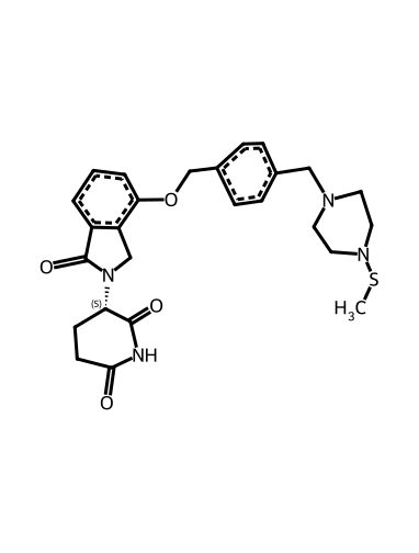 CSN1CCN(Cc2ccc(COc3cccc4c3CN([C@H]3CCC(=O)NC3=O)C4=O)cc2)CC1